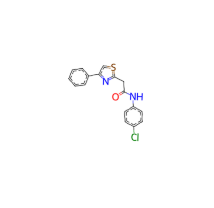 O=C(Cc1nc(-c2ccccc2)cs1)Nc1ccc(Cl)cc1